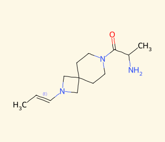 C/C=C/N1CC2(CCN(C(=O)C(C)N)CC2)C1